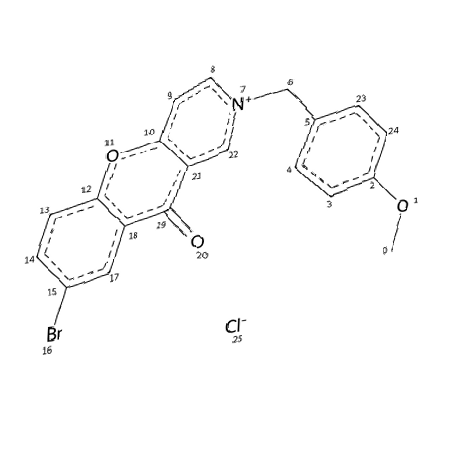 COc1ccc(C[n+]2ccc3oc4ccc(Br)cc4c(=O)c3c2)cc1.[Cl-]